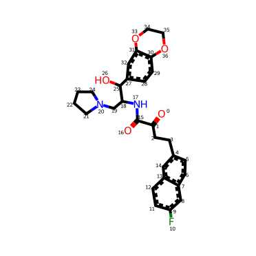 O=C(CCc1ccc2cc(F)ccc2c1)C(=O)NC(CN1CCCC1)C(O)c1ccc2c(c1)OCCO2